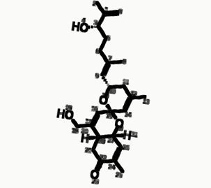 C=C(C)[C@@H](O)CC/C(C)=C/[C@@H]1CC(C)=C[C@]2(C=C(CO)[C@H]3CC(=O)C(C)=C[C@H]3O2)O1